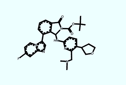 CN(C)Cc1nc(NC2c3c(cccc3-c3cnc4cc(F)ccn34)C(=O)N2C(=O)OC(C)(C)C)ccc1C1CCOC1